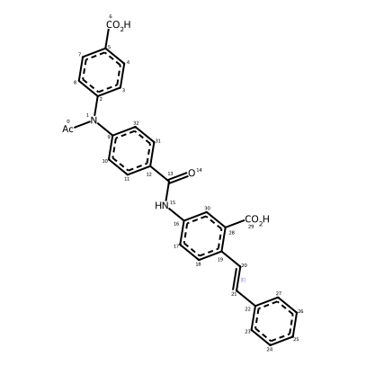 CC(=O)N(c1ccc(C(=O)O)cc1)c1ccc(C(=O)Nc2ccc(/C=C/c3ccccc3)c(C(=O)O)c2)cc1